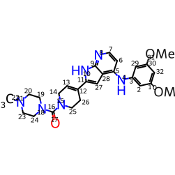 COc1cc(Nc2ccnc3[nH]c(C4=CCN(C(=O)N5CCN(C)CC5)CC4)cc23)cc(OC)c1